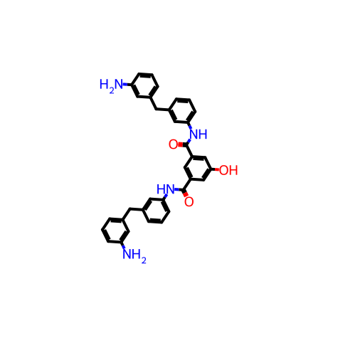 Nc1cccc(Cc2cccc(NC(=O)c3cc(O)cc(C(=O)Nc4cccc(Cc5cccc(N)c5)c4)c3)c2)c1